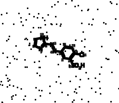 O=S(=O)(O)c1cc(/N=N/c2ncc[nH]2)ccc1Cl